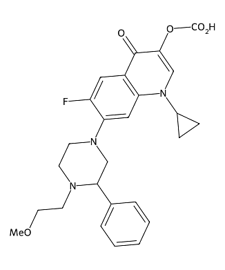 COCCN1CCN(c2cc3c(cc2F)c(=O)c(OC(=O)O)cn3C2CC2)CC1c1ccccc1